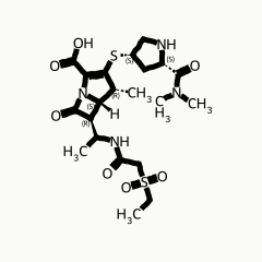 CCS(=O)(=O)CC(=O)NC(C)[C@H]1C(=O)N2C(C(=O)O)=C(S[C@@H]3CN[C@H](C(=O)N(C)C)C3)[C@H](C)[C@H]12